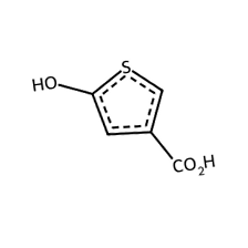 O=C(O)c1csc(O)c1